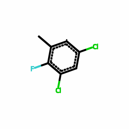 Cc1[c]c(Cl)cc(Cl)c1F